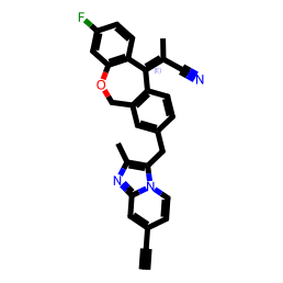 C#Cc1ccn2c(Cc3ccc4c(c3)COc3cc(F)ccc3/C4=C(\C)C#N)c(C)nc2c1